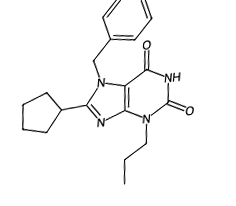 CCCn1c(=O)[nH]c(=O)c2c1nc(C1CCCC1)n2Cc1ccccc1